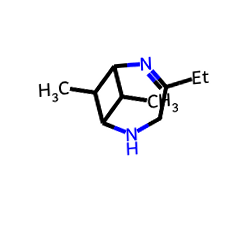 CCC1=NC2C(C)C(NC1)C2C